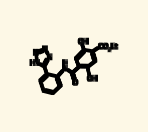 CCOC(=O)c1cc(O)c(C(=O)Nc2ccccc2-c2nnn[nH]2)cc1O